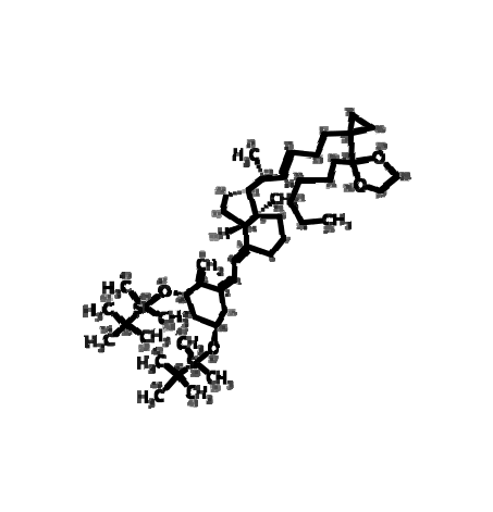 C=C1/C(=C\C=C2/CCC[C@]3(C)[C@@H]([C@H](C)/C=C/CCC4(C5(CCCCCC)OCCO5)CC4)CC[C@@H]23)C[C@@H](O[Si](C)(C)C(C)(C)C)C[C@@H]1O[Si](C)(C)C(C)(C)C